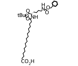 CC(C)(C)OC(=O)[C@H](CCCCNC(=O)OCc1ccccc1)NC(=O)CCCCCCCCCCCCCCCCC(=O)O